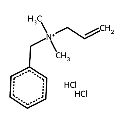 C=CC[N+](C)(C)Cc1ccccc1.Cl.Cl